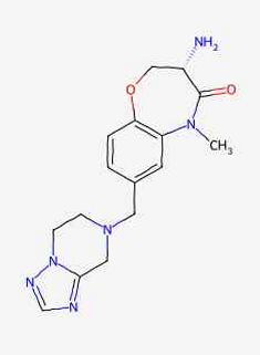 CN1C(=O)[C@@H](N)COc2ccc(CN3CCn4ncnc4C3)cc21